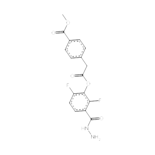 COC(=O)c1ccc(CC(=O)Oc2c(F)ccc(C(=O)NN)c2F)cc1